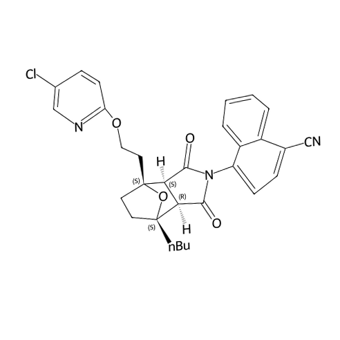 CCCC[C@@]12CC[C@@](CCOc3ccc(Cl)cn3)(O1)[C@H]1C(=O)N(c3ccc(C#N)c4ccccc34)C(=O)[C@H]12